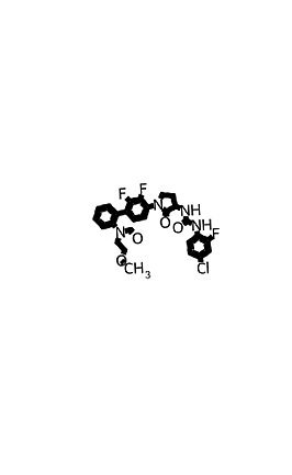 COCCN(C=O)c1ccccc1-c1ccc(N2CCC(NC(=O)Nc3ccc(Cl)cc3F)C2=O)c(F)c1F